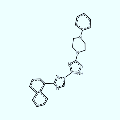 c1ccc(N2CCN(c3n[nH]c(-n4cnc(-c5cccc6ccccc56)n4)n3)CC2)cc1